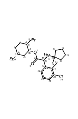 CC[C@@H]1CC[C@@H](C(C)C)[C@H](OC(=O)[C@@H](NC2(C)CCCC2)c2cccc(Cl)c2C)C1